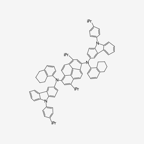 CC(C)c1ccc(-n2c3ccccc3c3cc(N(c4cccc5c4CCCC5)c4cc(C(C)C)c5ccc6c(N(c7ccc8c(c7)c7ccccc7n8-c7ccc(C(C)C)cc7)c7cccc8c7CCCC8)cc(C(C)C)c7ccc4c5c76)ccc32)cc1